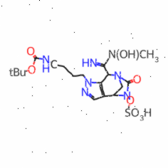 CN(O)C(=N)C1c2c(cnn2CCCCNC(=O)OC(C)(C)C)C2CN1C(=O)N2OS(=O)(=O)O